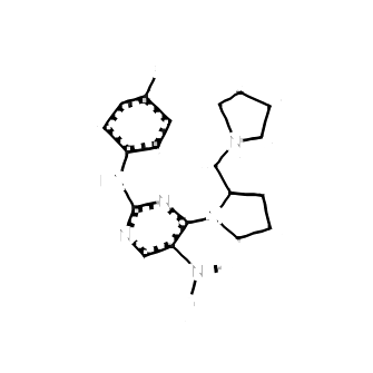 O=[N+]([O-])c1cnc(Nc2ccc(Cl)cc2)nc1N1CCCC1CN1CCCC1